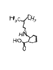 CC(C)CCNC1CC=CCC1C(=O)O